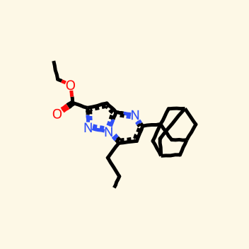 CCCc1cc(C23CC4CC(CC(C4)C2)C3)nc2cc(C(=O)OCC)nn12